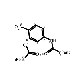 CCCCCC(=O)Cl.CCCCCC(=O)Nc1ccc([N+](=O)[O-])cc1